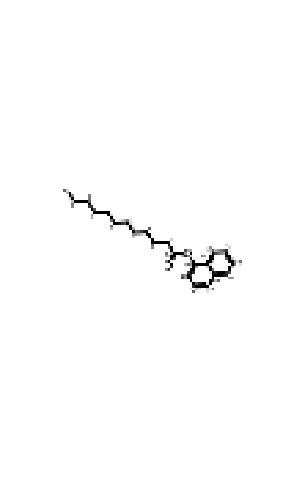 CCCCCCCCCCCC(=O)Oc1cccc2ccccc12